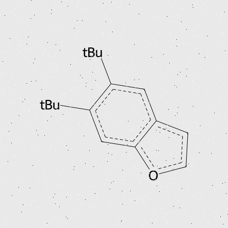 CC(C)(C)c1cc2ccoc2cc1C(C)(C)C